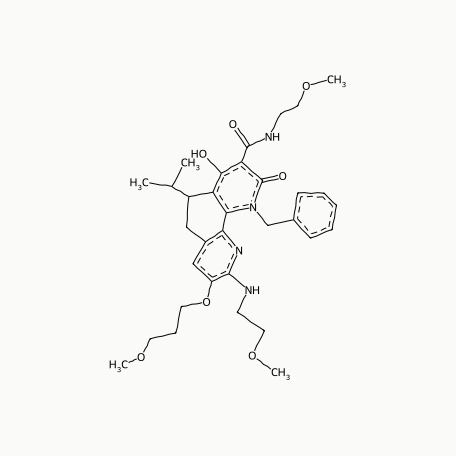 COCCCOc1cc2c(nc1NCCOC)-c1c(c(O)c(C(=O)NCCOC)c(=O)n1Cc1ccccc1)C(C(C)C)C2